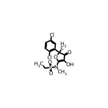 CCS(=O)(=O)N(C)C1=C(O)C(=O)C(C)(c2cc(Cl)ccc2Cl)O1